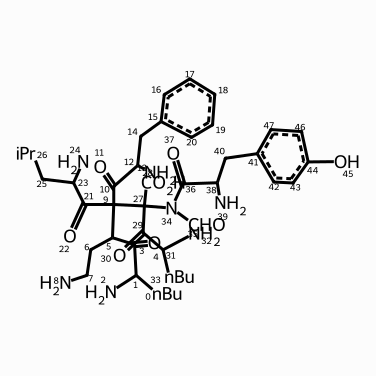 CCCCC(N)C(=O)C(CCN)C(C(=O)C(N)Cc1ccccc1)(C(=O)C(N)CC(C)C)C(C(=O)O)(C(=O)C(N)CCCC)N(C=O)C(=O)C(N)Cc1ccc(O)cc1